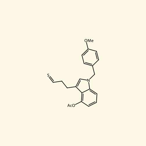 COc1ccc(Cn2cc(CCC=S)c3c(OC(C)=O)cccc32)cc1